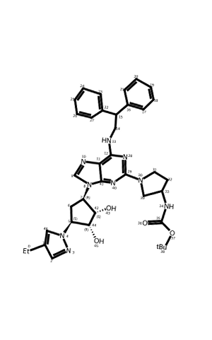 CCc1cnn([C@H]2C[C@@H](n3cnc4c(NCC(c5ccccc5)c5ccccc5)nc(N5CCC(NC(=O)OC(C)(C)C)C5)nc43)[C@H](O)[C@@H]2O)c1